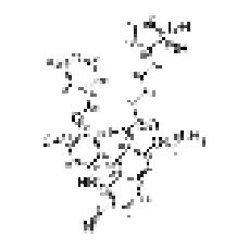 CCOc1cc2ncc(C#N)c(Nc3ccc(OCc4cccc(F)c4)c(Cl)c3)c2cc1NC(=O)CCCCC1CCSS1(O)O